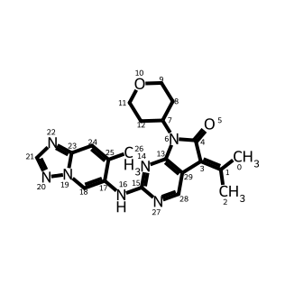 CC(C)=C1C(=O)N(C2CCOCC2)c2nc(Nc3cn4ncnc4cc3C)ncc21